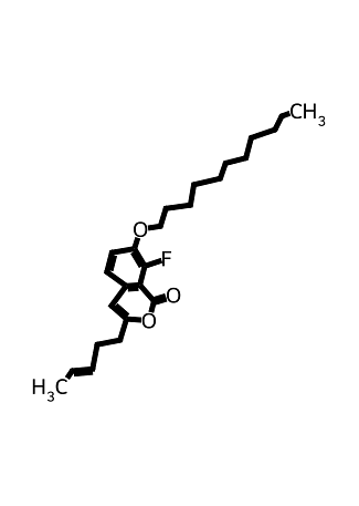 C/C=C/CCc1cc2ccc(OCCCCCCCCCCC)c(F)c2c(=O)o1